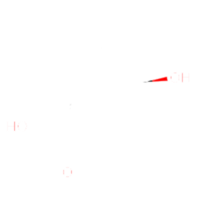 C[C@H]1C[C@@H](C(=O)O)C[C@@H]1O